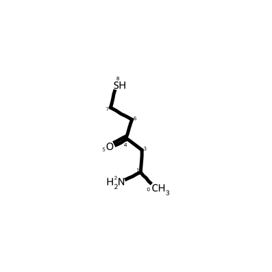 CC(N)CC(=O)CCS